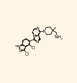 Cn1nc(Cl)c2c(Cl)c(-c3ncc4c(N5CCC(C)(CN)CC5)nccn34)ccc21